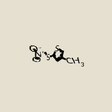 Cc1csc(SC[N+](=O)[O-])c1